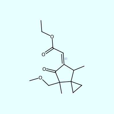 CCOC(=O)/C=C1\C(=O)C(C)(COC)C2(CC2)C1C